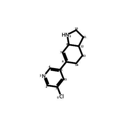 Clc1cncc(C2=CC3NCCC3CC2)c1